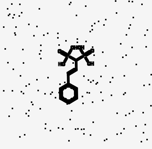 O=P(O)(O)C(C=Cc1ccccc1)P(=O)(O)O